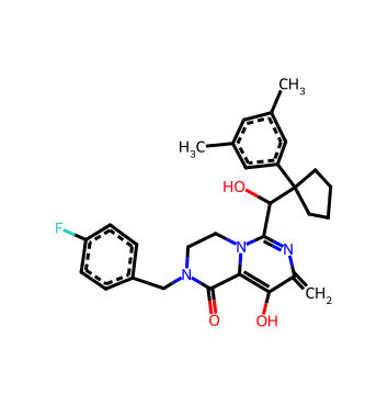 C=C1N=C(C(O)C2(c3cc(C)cc(C)c3)CCCC2)N2CCN(Cc3ccc(F)cc3)C(=O)C2=C1O